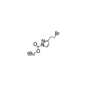 CC(C)(C)OC(=O)n1ccc(CCBr)n1